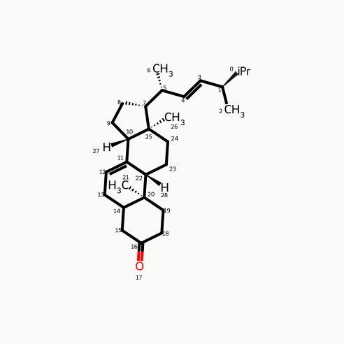 CC(C)[C@@H](C)C=C[C@@H](C)[C@H]1CC[C@H]2C3=CCC4CC(=O)CC[C@]4(C)[C@H]3CC[C@]12C